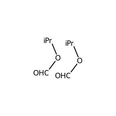 CC(C)OC=O.CC(C)OC=O